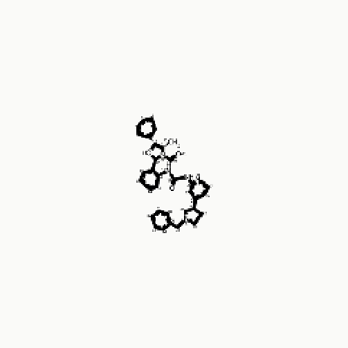 C[C@H]1[C@@H](c2ccccc2)OC(c2ccccc2NC(=O)Nc2cc(C3CCN(Cc4ccccc4)C3)ccn2)N1C=O